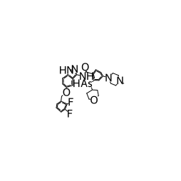 CN1CCN(c2ccc(C(=O)Nc3n[nH]c4ccc(OCc5cccc(F)c5F)cc34)c([AsH]C3CCOCC3)c2)CC1